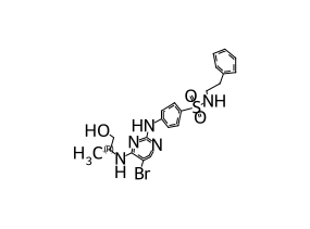 C[C@H](CO)Nc1nc(Nc2ccc(S(=O)(=O)NCCc3ccccc3)cc2)ncc1Br